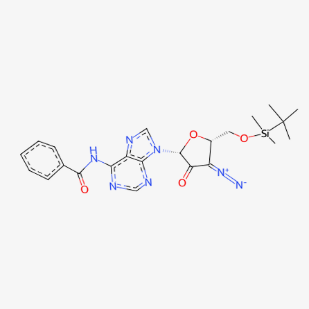 CC(C)(C)[Si](C)(C)OC[C@H]1O[C@@H](n2cnc3c(NC(=O)c4ccccc4)ncnc32)C(=O)C1=[N+]=[N-]